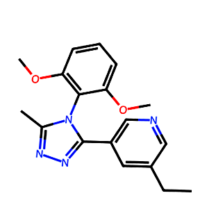 CCc1cncc(-c2nnc(C)n2-c2c(OC)cccc2OC)c1